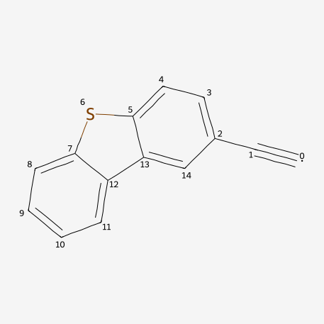 [C]#Cc1ccc2sc3ccccc3c2c1